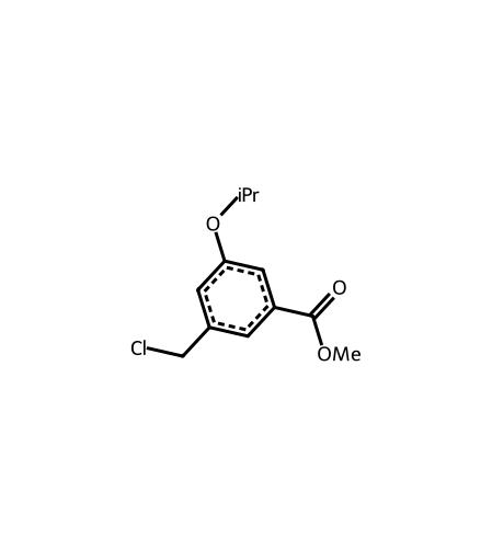 COC(=O)c1cc(CCl)cc(OC(C)C)c1